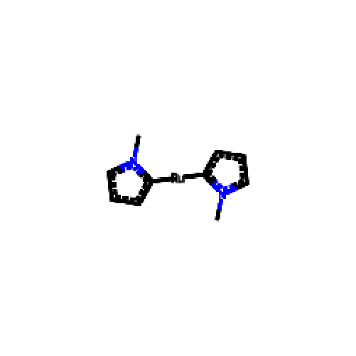 Cn1ccc[c]1[Ru][c]1cccn1C